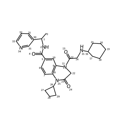 CC(NC(=O)c1ccc2c(c1)N(C(=O)CNC1CCCCC1)CC(=O)N2C1CCC1)c1cccnc1